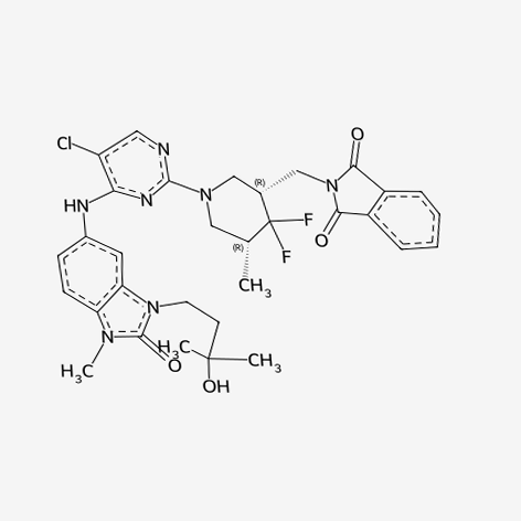 C[C@@H]1CN(c2ncc(Cl)c(Nc3ccc4c(c3)n(CCC(C)(C)O)c(=O)n4C)n2)C[C@H](CN2C(=O)c3ccccc3C2=O)C1(F)F